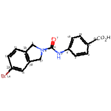 O=C(O)c1ccc(NC(=O)N2Cc3ccc(Br)cc3C2)cc1